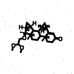 COC(CO[C@@]1(C)[C@H]2C[C@H]2C2C3C(CC[C@@]21C)[C@@]1(C)CCC(=O)C=C1[C@@H]1C[C@H]31)OC